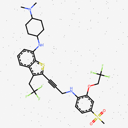 CN(C)C1CCC(Nc2cccc3c(CC(F)(F)F)c(C#CCNc4ccc(S(C)(=O)=O)cc4OCC(F)(F)F)sc23)CC1